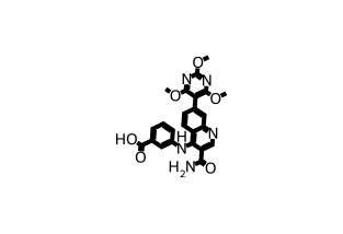 COc1nc(OC)c(-c2ccc3c(Nc4cccc(C(=O)O)c4)c(C(N)=O)cnc3c2)c(OC)n1